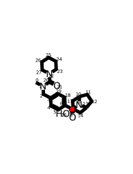 CN(Cc1ccc(C(=O)N2C3CCC2CC(O)C3)cc1)C(=O)N1CCCCC1